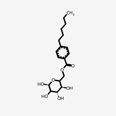 CCCCCCc1ccc(C(=O)OCC2O[C@H](O)C(O)[C@@H](O)[C@@H]2O)cc1